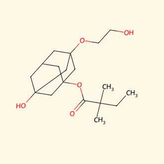 CCC(C)(C)C(=O)OC12CC3CC(O)(CC(OCCO)(C3)C1)C2